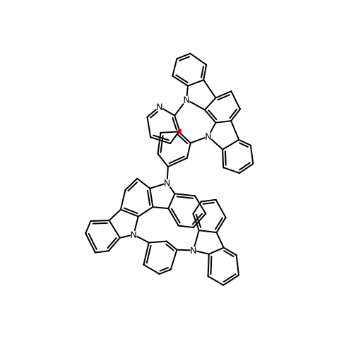 c1ccc(-n2c3ccccc3c3ccc4c5ccccc5n(-c5cccc(-n6c7ccccc7c7c6ccc6c8ccccc8n(-c8cccc(-n9c%10ccccc%10c%10ccccc%109)c8)c67)c5)c4c32)nc1